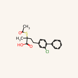 CC(=O)SC(C)(CCc1ccc(-c2ccccc2)c(Cl)c1)C(=O)O